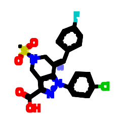 CS(=O)(=O)N1C/C(=C\c2ccc(F)cc2)c2c(c(C(=O)O)nn2-c2ccc(Cl)cc2)C1